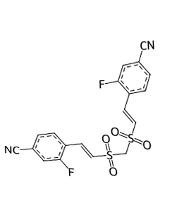 N#Cc1ccc(C=CS(=O)(=O)CS(=O)(=O)C=Cc2ccc(C#N)cc2F)c(F)c1